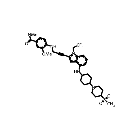 CNC(=O)c1ccc(NCC#Cc2cc3c(NC4CCC(N5CCC(S(C)(=O)=O)CC5)CC4)cccc3n2CC(F)(F)F)c(OC)c1